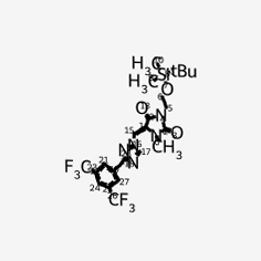 CN1C(=O)N(CCO[Si](C)(C)C(C)(C)C)C(=O)/C1=C/n1cnc(-c2cc(C(F)(F)F)cc(C(F)(F)F)c2)n1